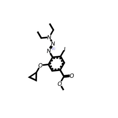 CCN(CC)/N=N/c1c(I)cc(C(=O)OC)cc1OC1CC1